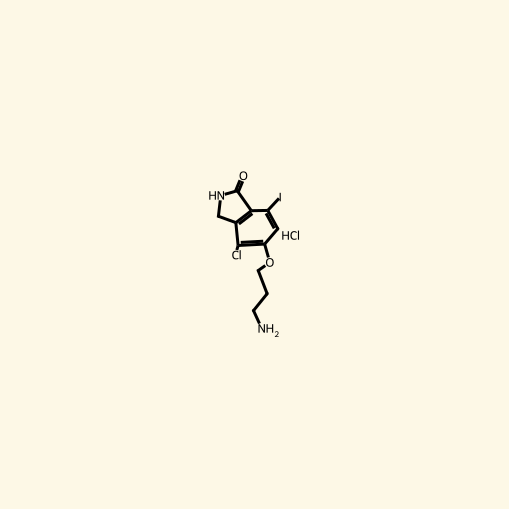 Cl.NCCCOc1cc(I)c2c(c1Cl)CNC2=O